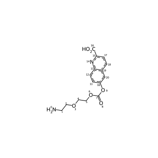 NCCOCCOC(=O)Oc1ccc2nc(C(=O)O)ccc2c1